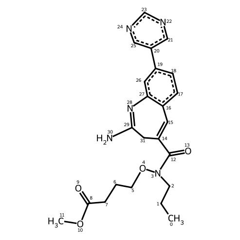 CCCN(OCCCC(=O)OC)C(=O)C1=Cc2ccc(-c3cncnc3)cc2N=C(N)C1